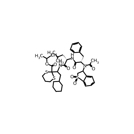 CC(=O)N(C1CS(=O)(=O)c2ccccc21)[C@@H](Cc1ccccc1)C(=O)N[C@@H](CC(C)C)C(=O)NC(CC1CCCCC1)C1(C(=O)OC(C)C)SCCCS1